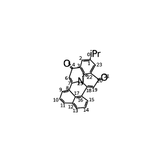 CC(C)c1cc2c(=O)cc3c4cccc5cccc(c54)c4cc(=O)c(c1)c2n34